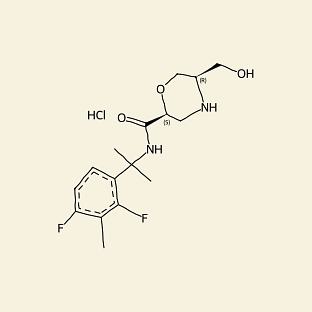 Cc1c(F)ccc(C(C)(C)NC(=O)[C@@H]2CN[C@H](CO)CO2)c1F.Cl